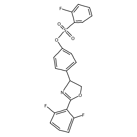 O=S(=O)(Oc1ccc(C2COC(c3c(F)cccc3F)=N2)cc1)c1ccccc1F